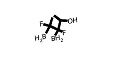 BC(C)(F)C(B)(F)C(C)O